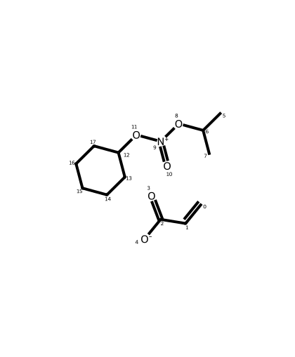 C=CC(=O)[O-].CC(C)O[N+](=O)OC1CCCCC1